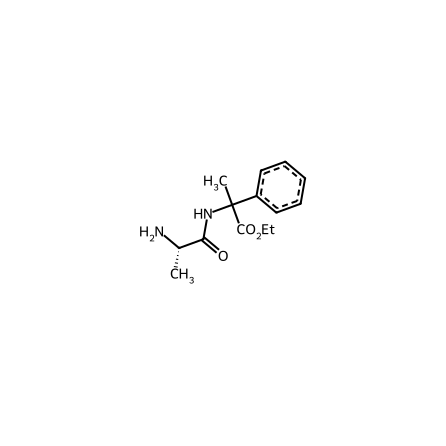 CCOC(=O)C(C)(NC(=O)[C@H](C)N)c1ccccc1